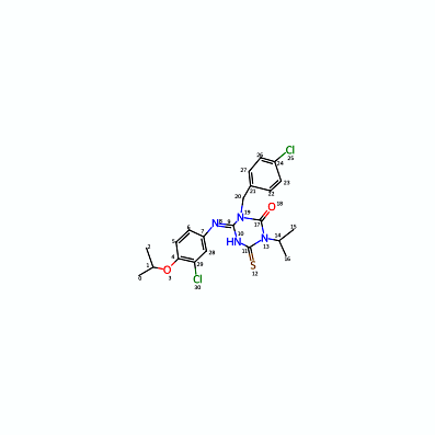 CC(C)Oc1ccc(/N=c2\[nH]c(=S)n(C(C)C)c(=O)n2Cc2ccc(Cl)cc2)cc1Cl